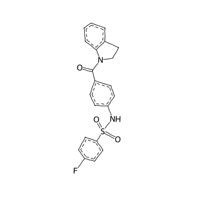 O=C(c1ccc(NS(=O)(=O)c2ccc(F)cc2)cc1)N1CCc2ccccc21